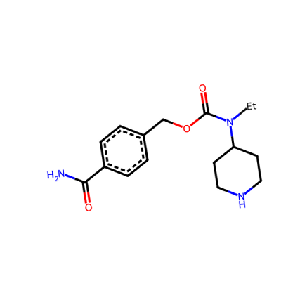 CCN(C(=O)OCc1ccc(C(N)=O)cc1)C1CCNCC1